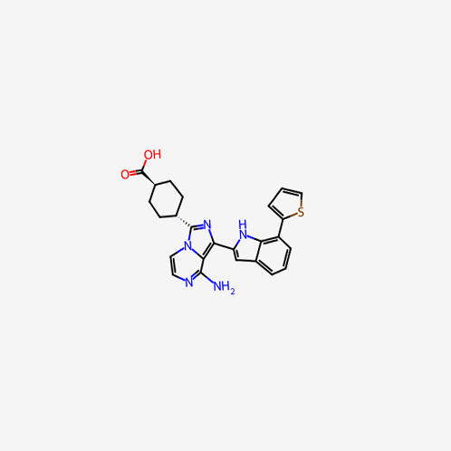 Nc1nccn2c1c(-c1cc3cccc(-c4cccs4)c3[nH]1)nc2[C@H]1CC[C@H](C(=O)O)CC1